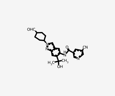 CC(C)(O)c1cc2nn(C3CCC(C=O)CC3)cc2cc1NC(=O)c1cncc(C#N)c1